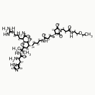 CCOCCNC(=O)CCN1C(=O)CC(SCCC(=O)NCCCC[C@H](CC(=O)C(C)(C)NC(=O)[C@@H](N)Cc2cnc[nH]2)C(=O)C[C@@H](CCCNC(=N)N)C(N)=O)C1=O